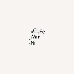 [C].[Fe].[Mn].[Ni]